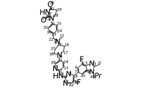 Cc1nc2c(F)cc(-c3nc(Nc4ccc(N5CCC(N(C)Cc6ccc(N7CCC(=O)NC7=O)cc6)CC5)cn4)ncc3F)cc2n1C(C)C